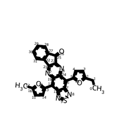 CCc1ccc(-c2c3nsnc3c(-c3ccc(C)o3)c3nc4c(nc23)C(=O)c2ccccc2-4)o1